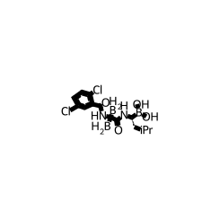 BC(B)(NC(=O)c1cc(Cl)ccc1Cl)C(=O)N[C@@H](CC(C)C)B(O)O